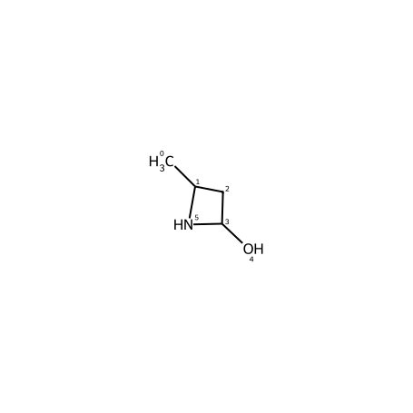 CC1CC(O)N1